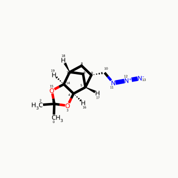 CC1(C)O[C@@H]2[C@@H]3C[C@@H](C[C@@H]3CN=[N+]=[N-])[C@@H]2O1